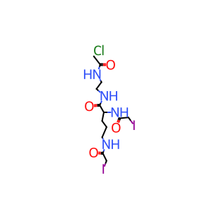 O=C(CCl)NCCNC(=O)C(CCCNC(=O)CI)NC(=O)CI